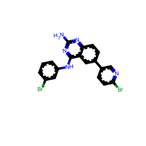 Nc1nc(Nc2cccc(Br)c2)c2cc(-c3ccc(Br)nc3)ccc2n1